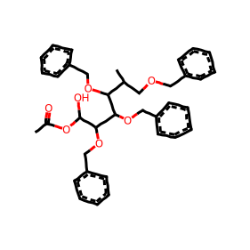 CC(=O)OC(O)C(OCc1ccccc1)C(OCc1ccccc1)C(OCc1ccccc1)C(C)COCc1ccccc1